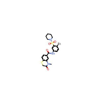 CCc1ccc(NC(=O)c2ccc3c(c2)N(C)C(=O)CS3)cc1S(=O)(=O)N1CCCCC1